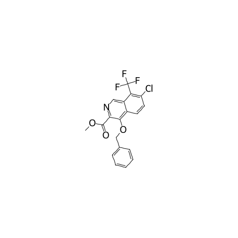 COC(=O)c1ncc2c(C(F)(F)F)c(Cl)ccc2c1OCc1ccccc1